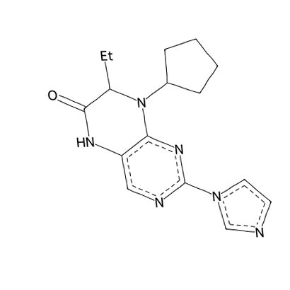 CCC1C(=O)Nc2cnc(-n3ccnc3)nc2N1C1CCCC1